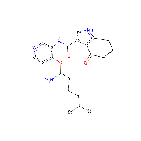 CCC(CC)CCCC(N)Oc1ccncc1NC(=O)c1c[nH]c2c1C(=O)CCC2